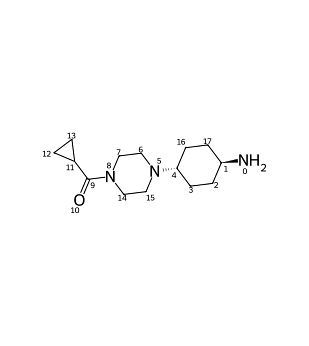 N[C@H]1CC[C@H](N2CCN(C(=O)C3CC3)CC2)CC1